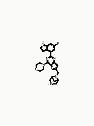 Fc1cc(-c2nc(N3CCOCC3)c3sc(CN4C5CNCC4C5)cc3n2)c2cc[nH]c2c1